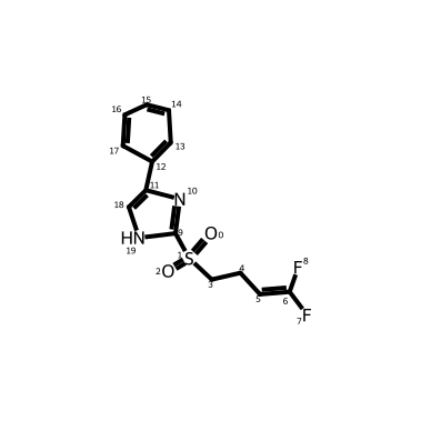 O=S(=O)(CCC=C(F)F)c1nc(-c2ccccc2)c[nH]1